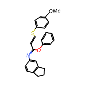 COc1ccc(SC=CC(=Nc2ccc3c(c2)CCC3)Oc2ccccc2)cc1